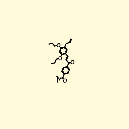 C=CCc1cc(C=CC(=O)c2ccc(C(=O)N(C)C)cc2)c(OCCC)cc1OCCC